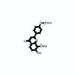 CCCCCOc1ccc(-c2cc(=O)c3ccc(O)c(OC)c3o2)cc1